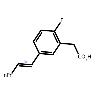 CCC/C=C/c1ccc(F)c(CC(=O)O)c1